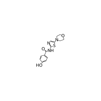 O=C(Nc1ncc(N2CCOCC2)s1)c1ccc(O)cc1